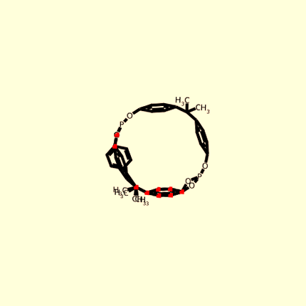 CC1(C)c2ccc(cc2)OP2Oc3ccc(cc3)C(C)(C)c3ccc(cc3)OP(Oc3ccc1cc3)Oc1ccc(cc1)C(C)(C)c1ccc(cc1)O2